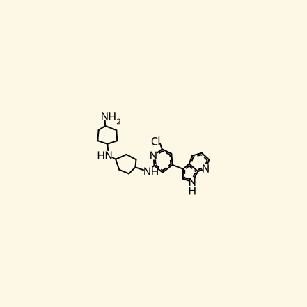 NC1CCC(NC2CCC(Nc3cc(-c4c[nH]c5ncccc45)cc(Cl)n3)CC2)CC1